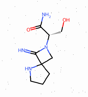 N=C1N([C@@H](CO)C(N)=O)CC12CCCN2